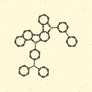 c1ccc(-c2cccc(-n3c4ccccc4c4c5c6ccc7ccccc7c6n(-c6ccc(N(c7ccccc7)c7ccccc7)cc6)c5ccc43)c2)cc1